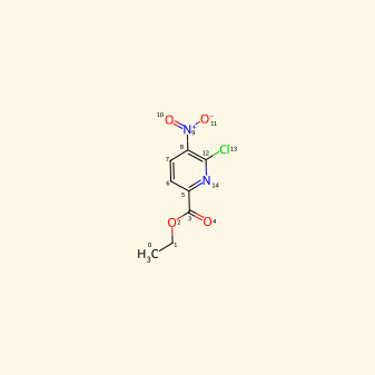 CCOC(=O)c1ccc([N+](=O)[O-])c(Cl)n1